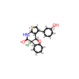 O=C1Nc2scc(-c3cccc(O)c3)c2C(=O)C1(F)c1ccccc1